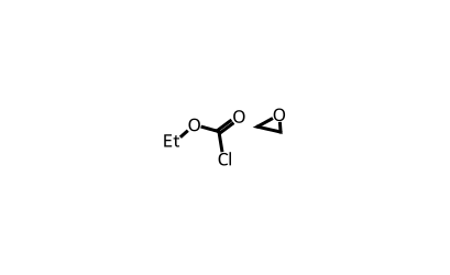 C1CO1.CCOC(=O)Cl